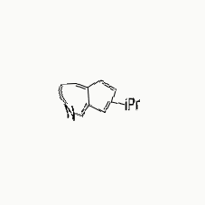 CC(C)c1ccc2c(c1)=CN=C=CC=2